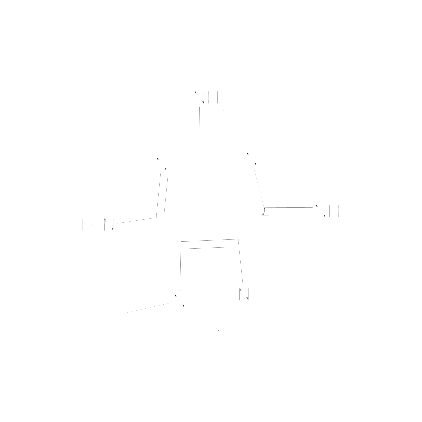 Cn1cnc2c(=N)nc(N)nc(N)c21